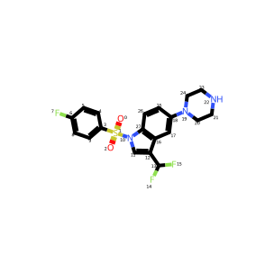 O=S(=O)(c1ccc(F)cc1)n1cc(C(F)F)c2cc(N3CCNCC3)ccc21